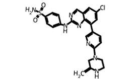 C=C1CN(c2ccc(-c3cc(Cl)cc4cnc(Nc5ccc(S(N)(=O)=O)cc5)nc34)cn2)CCN1